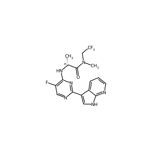 C[C@@H](Nc1nc(-c2c[nH]c3ncccc23)ncc1F)C(=O)N(C)CC(F)(F)F